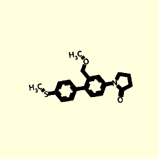 COCc1cc(N2CCCC2=O)ccc1-c1ccc(SC)cc1